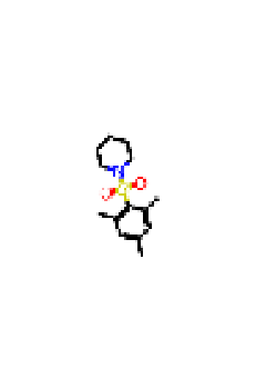 Cc1cc(C)c(S(=O)(=O)N2CC[CH]CC2)c(C)c1